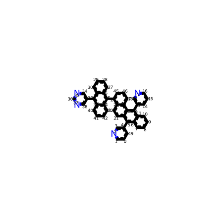 c1cncc(-c2c3ccccc3c(-c3cccnc3)c3c2ccc2c(-c4c5ccccc5c(-c5cncnc5)c5ccccc45)cccc23)c1